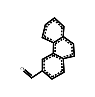 O=Cc1ccc2ccc3ccccc3c2c1